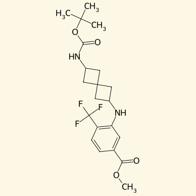 COC(=O)c1ccc(C(F)(F)F)c(NC2CC3(CC(NC(=O)OC(C)(C)C)C3)C2)c1